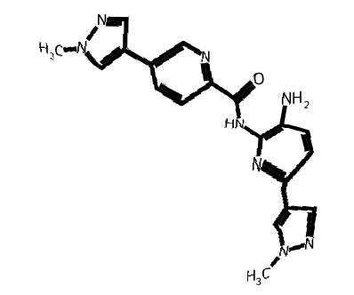 Cn1cc(-c2ccc(C(=O)Nc3nc(-c4cnn(C)c4)ccc3N)nc2)cn1